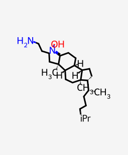 CC(C)CCC[C@@H](C)[C@H]1CC[C@H]2[C@@H]3CCC(=NO)[C@](C)(CCCCN)[C@H]3CC[C@]12C